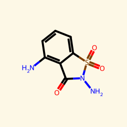 Nc1cccc2c1C(=O)N(N)S2(=O)=O